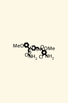 COc1cccc(C(COC(N)=O)N2CCC(CNC(=O)c3cc(Cl)c(N)cc3OC)CC2)c1